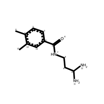 Cc1ccc(C(=O)NCCC(N)N)cc1C